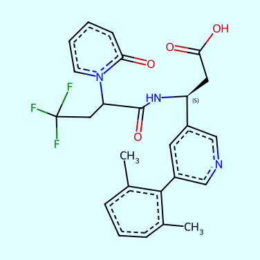 Cc1cccc(C)c1-c1cncc([C@H](CC(=O)O)NC(=O)C(CC(F)(F)F)n2ccccc2=O)c1